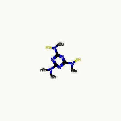 CCCN(CCC)c1nc(N(S)C(C)(C)C)nc(N(S)C(C)(C)C)n1